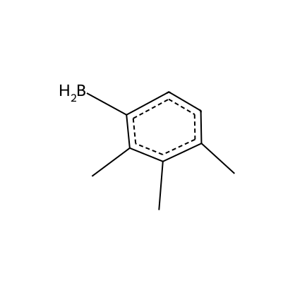 Bc1ccc(C)c(C)c1C